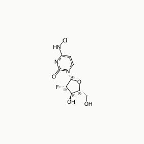 O=c1nc(NCl)ccn1[C@@H]1O[C@H](CO)[C@@H](O)[C@@H]1F